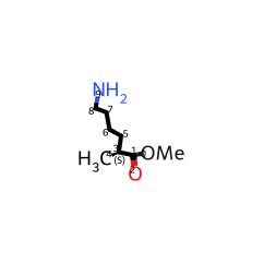 COC(=O)[C@@H](C)CCCCN